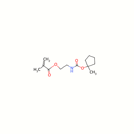 C=C(C)C(=O)OCCNC(=O)OC1(C)CCCC1